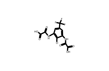 O=C(O)C(=O)Nc1cc(C(F)(F)F)cc(NC(=O)C(=O)O)c1Cl